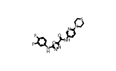 O=C(Nc1ccc(N2CCSCC2)nc1)c1nnc(Nc2ccc(F)c(F)c2)o1